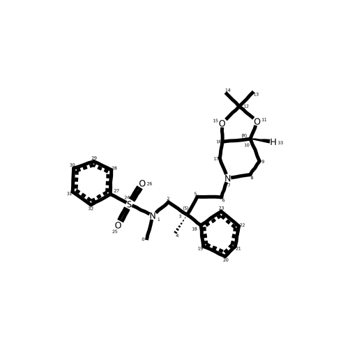 CN(C[C@@](C)(CCN1CC[C@H]2OC(C)(C)OC2C1)c1ccccc1)S(=O)(=O)c1ccccc1